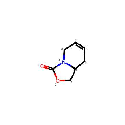 O=C1OC[C]2CC=CCN21